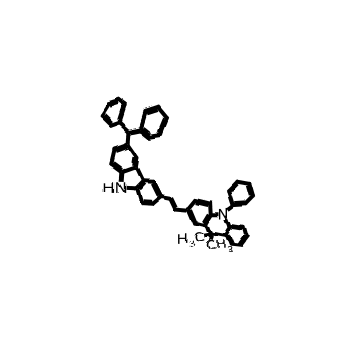 CC1(C)c2ccccc2N(c2ccccc2)c2ccc(/C=C/c3ccc4[nH]c5ccc(C(c6ccccc6)c6ccccc6)cc5c4c3)cc21